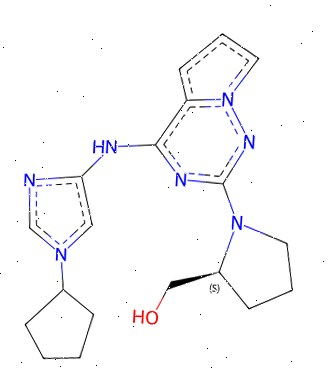 OC[C@@H]1CCCN1c1nc(Nc2cn(C3CCCC3)cn2)c2cccn2n1